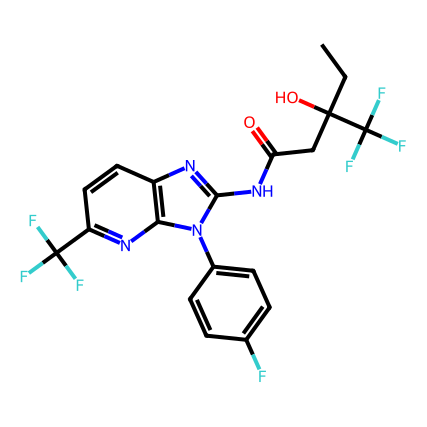 CCC(O)(CC(=O)Nc1nc2ccc(C(F)(F)F)nc2n1-c1ccc(F)cc1)C(F)(F)F